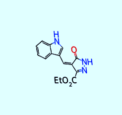 CCOC(=O)C1=NNC(=O)C1=Cc1c[nH]c2ccccc12